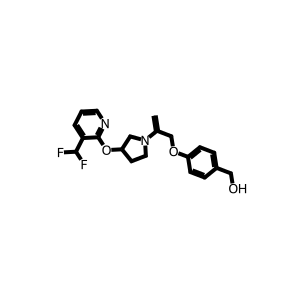 C=C(COc1ccc(CO)cc1)N1CCC(Oc2ncccc2C(F)F)C1